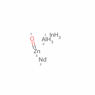 [AlH3].[InH3].[Nd].[O]=[Zn]